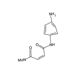 CNC(=O)/C=C\C(=O)Nc1ccc(N)cc1